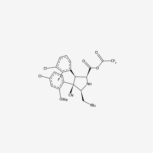 COc1cc(Cl)ccc1[C@@]1(C#N)[C@H](CC(C)(C)C)N[C@H](C(=O)OC(=O)C(F)(F)F)[C@@H]1c1cccc(Cl)c1F